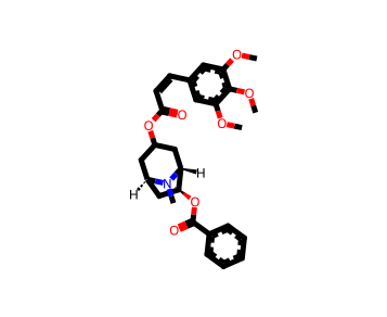 COc1cc(/C=C\C(=O)OC2C[C@@H]3C[C@H](OC(=O)c4ccccc4)[C@@H](C2)N3C)cc(OC)c1OC